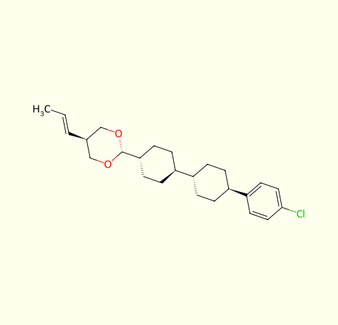 C/C=C/[C@H]1CO[C@H]([C@H]2CC[C@H]([C@H]3CC[C@H](c4ccc(Cl)cc4)CC3)CC2)OC1